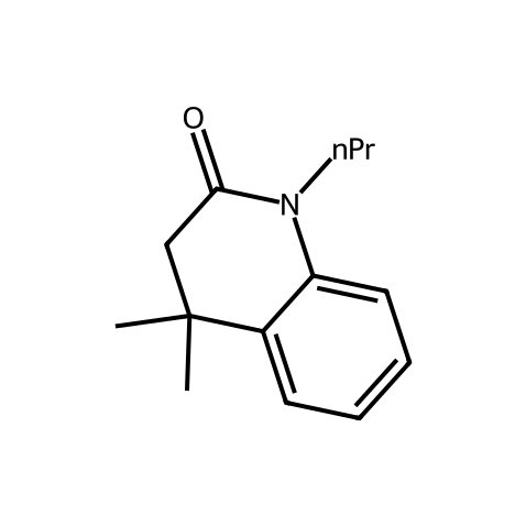 CCCN1C(=O)CC(C)(C)c2ccccc21